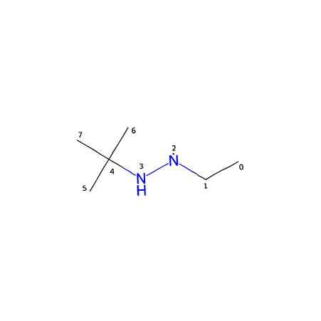 CC[N]NC(C)(C)C